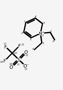 CC[N+]1(CC)C=CC=CC1.O=S(=O)([O-])C(F)(F)F